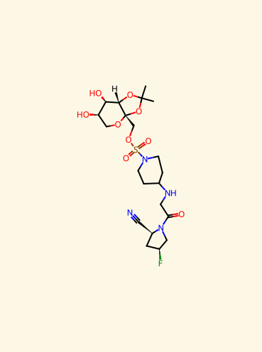 CC1(C)O[C@H]2[C@H](O)[C@H](O)CO[C@@]2(COS(=O)(=O)N2CCC(NCC(=O)N3C[C@@H](F)C[C@H]3C#N)CC2)O1